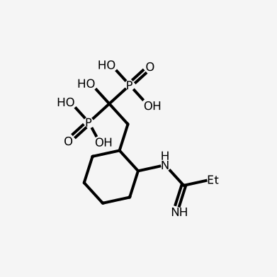 CCC(=N)NC1CCCCC1CC(O)(P(=O)(O)O)P(=O)(O)O